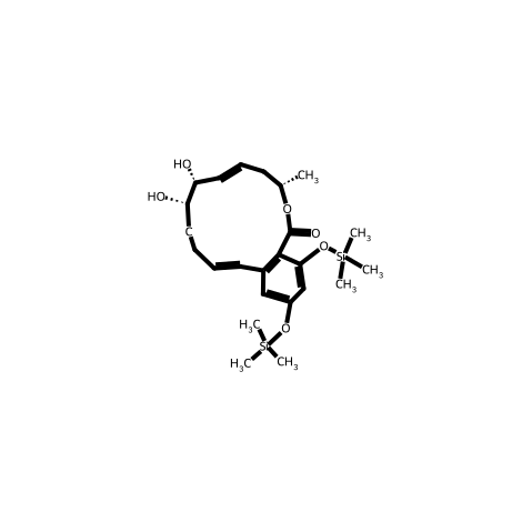 C[C@H]1C/C=C/[C@@H](O)[C@@H](O)CC/C=C/c2cc(O[Si](C)(C)C)cc(O[Si](C)(C)C)c2C(=O)O1